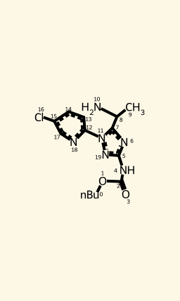 CCCCOC(=O)Nc1nc(C(C)N)n(-c2ccc(Cl)cn2)n1